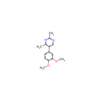 COc1ccc(-c2cnc(C)nc2C)cc1OC